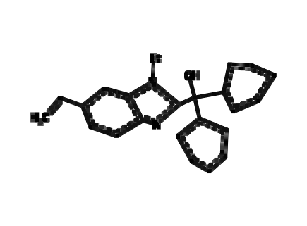 C=Cc1ccc2nc(C(O)(c3ccccc3)c3ccccc3)n(CC)c2c1